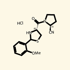 COc1ccccc1C1N[C@H](C(=O)N2CCC[C@H]2C#N)CS1.Cl